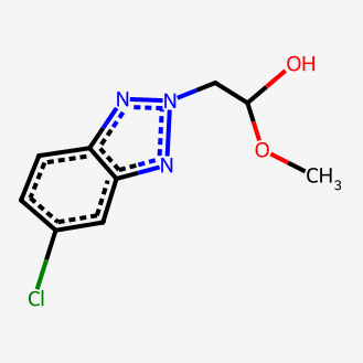 COC(O)Cn1nc2ccc(Cl)cc2n1